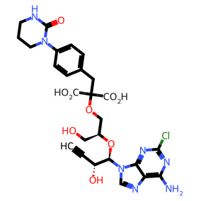 C#C[C@@H](O)[C@@H](O[C@@H](CO)COC(Cc1ccc(N2CCCNC2=O)cc1)(C(=O)O)C(=O)O)n1cnc2c(N)nc(Cl)nc21